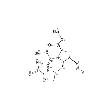 CC=C[C@@H]1C[C@H](C(=O)OC(C)(C)C)N(C(=O)OC(C)(C)C)[C@@H]1CC(C)C#N.NC(=O)CO